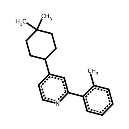 Cc1ccccc1-c1cc(C2CCC(C)(C)CC2)ccn1